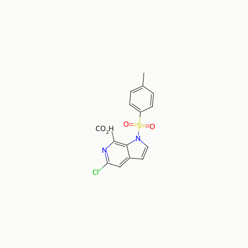 Cc1ccc(S(=O)(=O)n2ccc3cc(Cl)nc(C(=O)O)c32)cc1